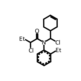 CCc1ccccc1N(C(=O)C(Cl)CC)C(Cl)C1CC=CCC1